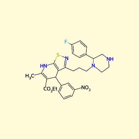 CCOC(=O)C1=C(C)Nc2snc(CCCN3CCNCC3c3ccc(F)cc3)c2C1c1cccc([N+](=O)[O-])c1